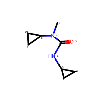 CN(C(=O)NC1CC1)C1CC1